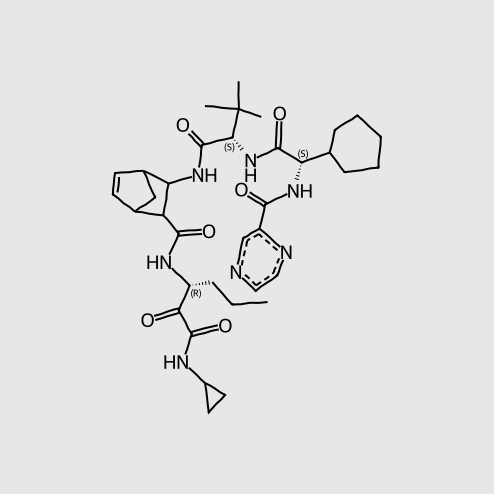 CCC[C@@H](NC(=O)C1C2C=CC(C2)C1NC(=O)[C@@H](NC(=O)[C@@H](NC(=O)c1cnccn1)C1CCCCC1)C(C)(C)C)C(=O)C(=O)NC1CC1